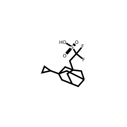 O=S(=O)(O)C(F)(F)CC12CC3CC(C1)CC(C1CC1)(C3)C2